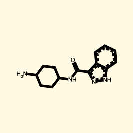 NC1CCC(NC(=O)c2n[nH]c3ccccc23)CC1